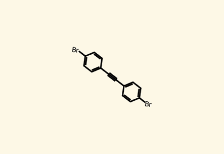 Brc1ccc(C#Cc2ccc(Br)cc2)cc1